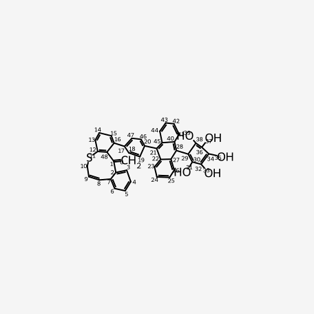 C=C1c2ccccc2/C=C\CSc2cccc(-c3ccc(-c4c5ccccc5c(-c5c(O)c(O)c(O)c(O)c5O)c5ccccc45)cc3)c21